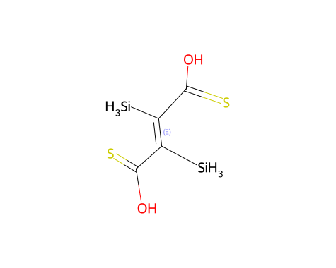 OC(=S)/C([SiH3])=C(\[SiH3])C(O)=S